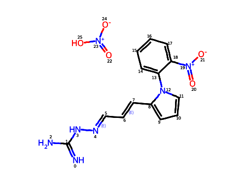 N=C(N)N/N=C/C=C/c1cccn1-c1ccccc1[N+](=O)[O-].O=[N+]([O-])O